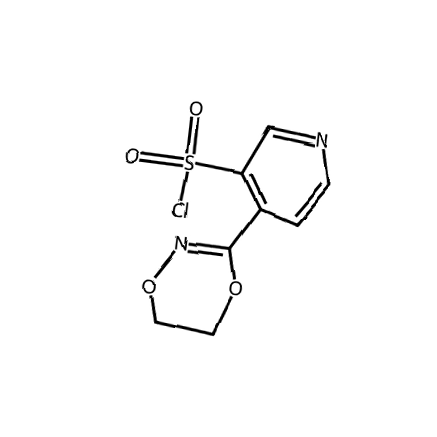 O=S(=O)(Cl)c1cnccc1C1=NOCCO1